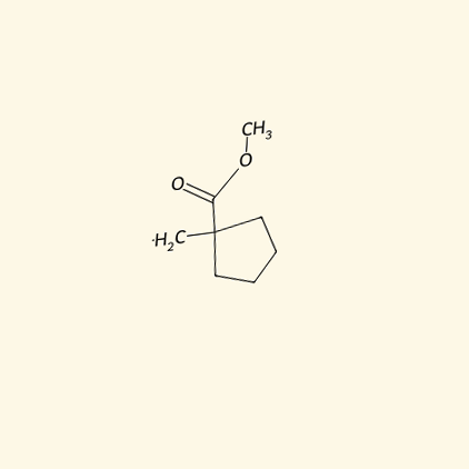 [CH2]C1(C(=O)OC)CCCC1